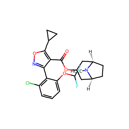 O=C(OC1C[C@H]2CC[C@@H](C1)N2C(=O)O)c1c(-c2c(Cl)cccc2OC(F)F)noc1C1CC1